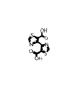 O=C(O)c1scnc1-c1ncsc1C(=O)O